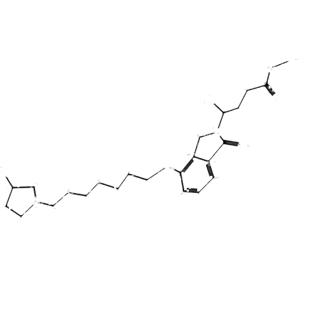 CC(CCC(=O)NC=O)N1Cc2c(SCCCCCCCN3CCC(O)C3)cccc2C1=O